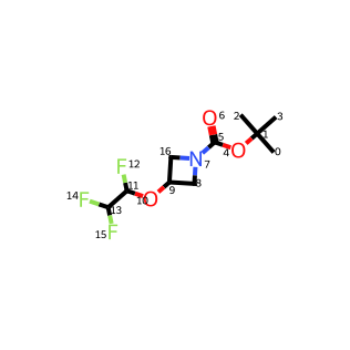 CC(C)(C)OC(=O)N1CC(OC(F)C(F)F)C1